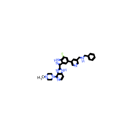 CN1CCN(c2nccc3[nH]c(-c4n[nH]c5c(F)cc(-c6cncc(CNCc7ccccc7)c6)cc45)nc23)CC1